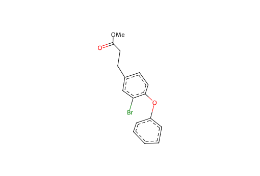 COC(=O)CCc1ccc(Oc2ccccc2)c(Br)c1